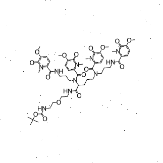 COc1ccc(C(=O)NCCCN(CCCC(C(=O)NCCOCCNC(=O)OC(C)(C)C)N(CCCNC(=O)c2ccc(OC)c(=O)n2C)C(=O)c2ccc(OC)c(=O)n2C)C(=O)c2ccc(OC)c(=O)n2C)n(C)c1=O